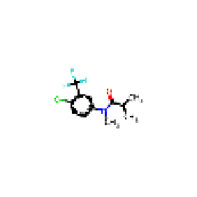 CC(C)C(=O)N(C)c1ccc(Cl)c(C(F)(F)F)c1